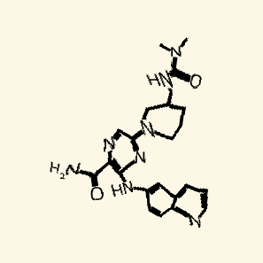 CN(C)C(=O)NC1CCCN(c2cnc(C(N)=O)c(Nc3ccc4ncccc4c3)n2)C1